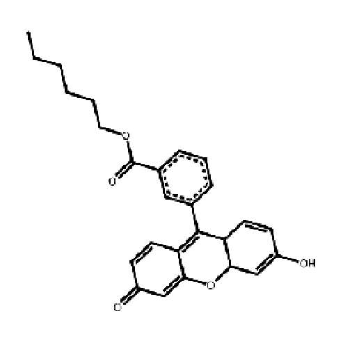 CCCCCCOC(=O)c1cccc(C2=C3C=CC(=O)C=C3OC3C=C(O)C=CC23)c1